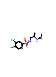 C=C(CNS(=O)(=O)c1ccc(F)c(Cl)c1)/N=C\C